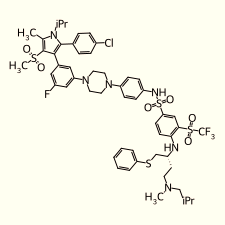 Cc1c(S(C)(=O)=O)c(-c2cc(F)cc(N3CCN(c4ccc(NS(=O)(=O)c5ccc(N[C@H](CCN(C)CC(C)C)CSc6ccccc6)c(S(=O)(=O)C(F)(F)F)c5)cc4)CC3)c2)c(-c2ccc(Cl)cc2)n1C(C)C